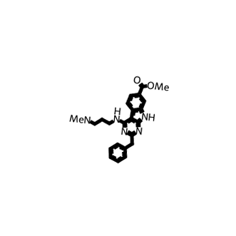 CNCCCNc1nc(Cc2ccccc2)nc2[nH]c3cc(C(=O)OC)ccc3c12